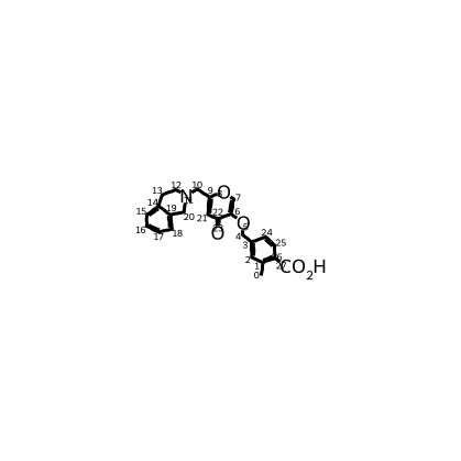 Cc1cc(COc2coc(CN3CCc4ccccc4C3)cc2=O)ccc1C(=O)O